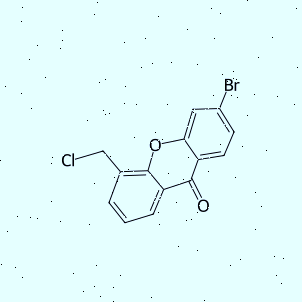 O=c1c2ccc(Br)cc2oc2c(CCl)cccc12